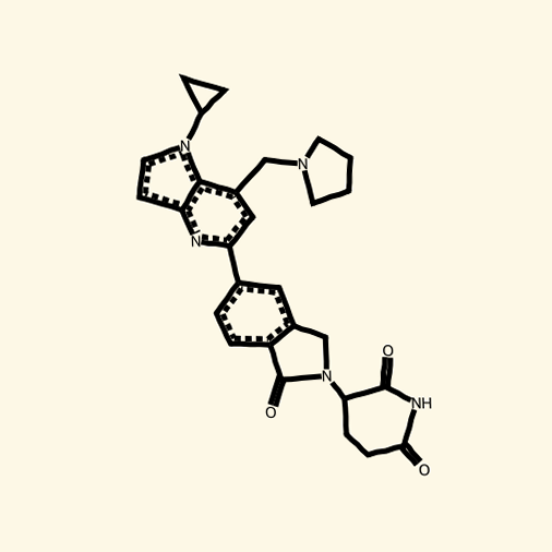 O=C1CCC(N2Cc3cc(-c4cc(CN5CCCC5)c5c(ccn5C5CC5)n4)ccc3C2=O)C(=O)N1